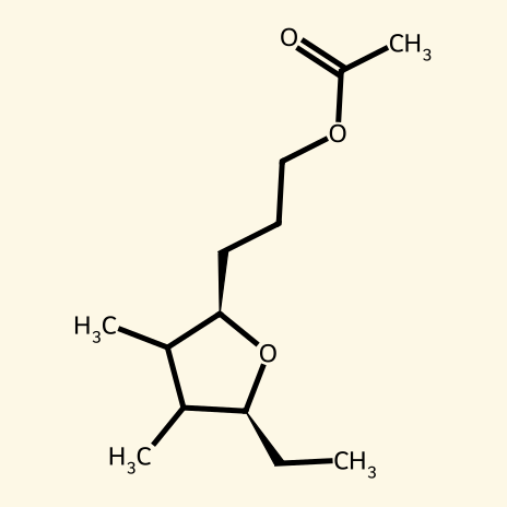 CC[C@@H]1O[C@H](CCCOC(C)=O)C(C)C1C